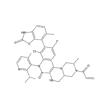 C=CC(=O)N1CC2CNc3c(c4cc(F)c(-c5c(C)ccc6[nH]c(=O)oc56)c(Cl)c4n(-c4c(C)ccnc4C(C)C)c3=O)N2CC1C